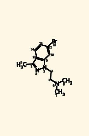 Cc1nn(CCN(C)C)c2cc(Br)ccc12